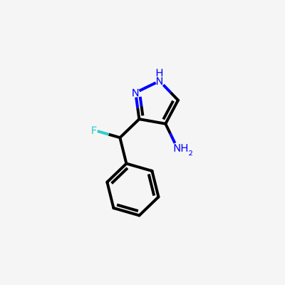 Nc1c[nH]nc1C(F)c1ccccc1